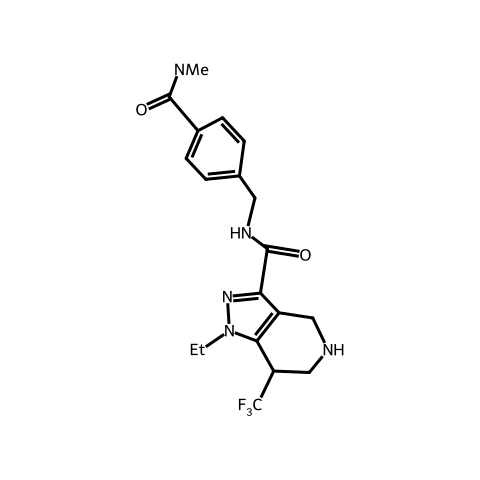 CCn1nc(C(=O)NCc2ccc(C(=O)NC)cc2)c2c1C(C(F)(F)F)CNC2